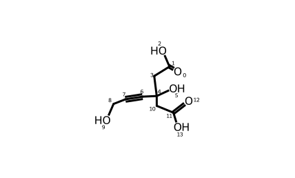 O=C(O)CC(O)(C#CCO)CC(=O)O